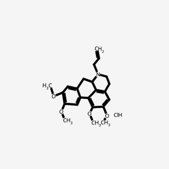 C=CCN1CCc2cc(OC)c(OC)c3c2C1Cc1cc(OC)c(OC)cc1-3.Cl